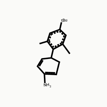 Cc1cc(C(C)(C)C)cc(C)c1C1C=CC(N)=CC1